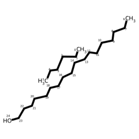 CCCCCC.CCCCCCCCCCCCCCCCCCO